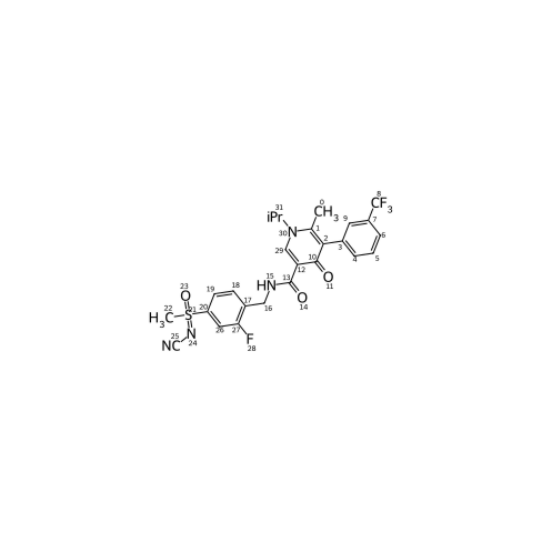 Cc1c(-c2cccc(C(F)(F)F)c2)c(=O)c(C(=O)NCc2ccc(S(C)(=O)=NC#N)cc2F)cn1C(C)C